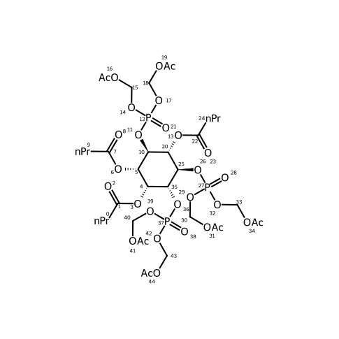 CCCC(=O)O[C@@H]1[C@H](OC(=O)CCC)[C@@H](OP(=O)(OCOC(C)=O)OCOC(C)=O)[C@H](OC(=O)CCC)[C@@H](OP(=O)(OCOC(C)=O)OCOC(C)=O)[C@@H]1OP(=O)(OCOC(C)=O)OCOC(C)=O